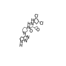 O=C(N[C@@H]1CCCN(c2ncnc3[nH]ccc23)C1)[C@H](Nc1cc(Cl)cc(Cl)c1)C1COC1